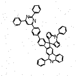 c1ccc(-c2cc(-c3ccc(-c4ccc5c(c4)C4(c6cc7c(cc6-5)c(-c5ccccc5)nc5ccccc57)c5ccccc5N(c5ccccc5)c5ccccc54)cc3)nc(-c3ccccc3)n2)cc1